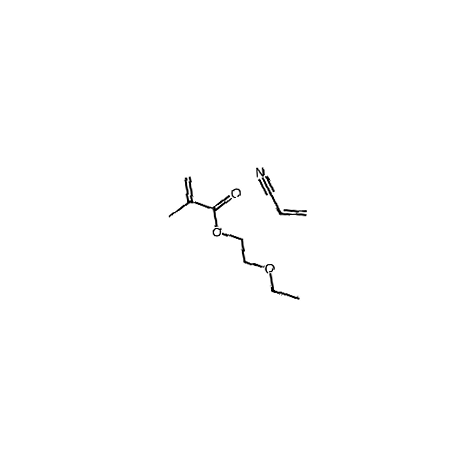 C=C(C)C(=O)OCCOCC.C=CC#N